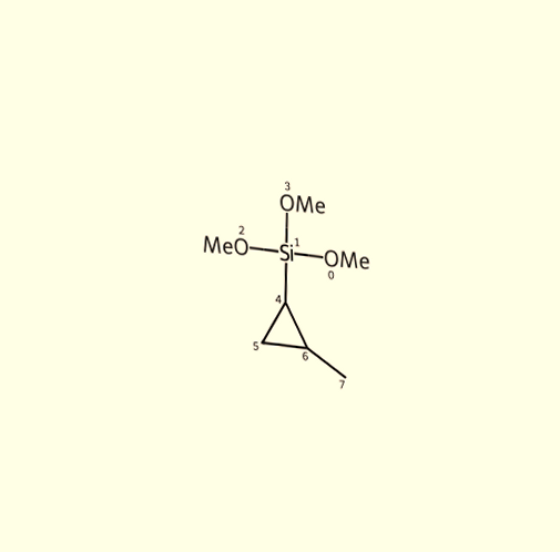 CO[Si](OC)(OC)C1CC1C